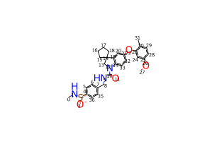 CN[S+]([O-])c1ccc(CNC(=O)N2CC3(CCCC3)c3cc(Oc4cc(OC)ccc4C)ccc32)cc1